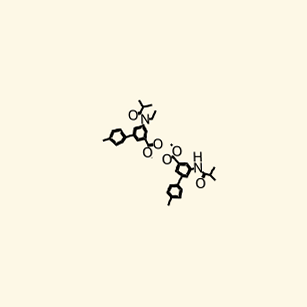 CCN(C(=O)C(C)C)c1cc(C(=O)OC)cc(-c2ccc(C)cc2)c1.COC(=O)c1cc(NC(=O)C(C)C)cc(-c2ccc(C)cc2)c1